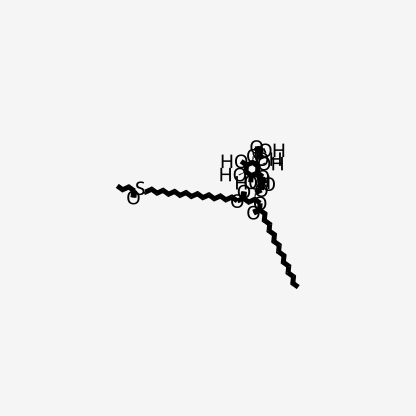 CCCCCCCCCCCCCCCC(=O)O[C@@H](COP(=O)(O)OC1C(O)[C@H](O)C(O)[C@H](OP(=O)(O)O)[C@@H]1O)CC(=O)OCCCCCCCCCCCCCCCCSC(=O)CCC